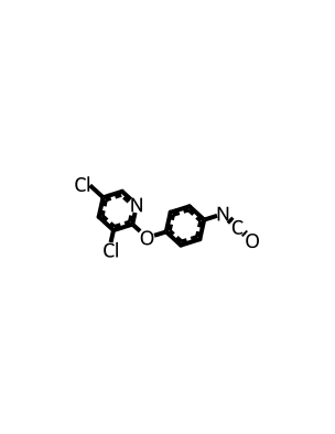 O=C=Nc1ccc(Oc2ncc(Cl)cc2Cl)cc1